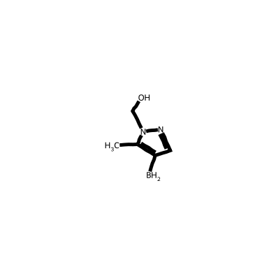 Bc1cnn(CO)c1C